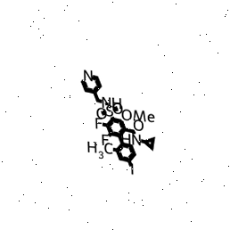 COc1c(C(=O)NC2CC2)c(-c2ccc(I)cc2C)c(F)c(F)c1S(=O)(=O)NCc1ccncc1